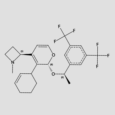 C[C@@H](O[C@H]1OC=CC([C@@H]2CCN2C)=C1C1C=CCCC1)c1cc(C(F)(F)F)cc(C(F)(F)F)c1